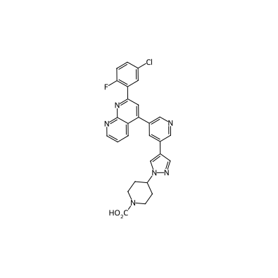 O=C(O)N1CCC(n2cc(-c3cncc(-c4cc(-c5cc(Cl)ccc5F)nc5ncccc45)c3)cn2)CC1